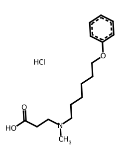 CN(CCCCCCOc1ccccc1)CCC(=O)O.Cl